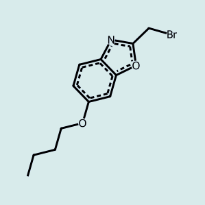 CCCCOc1ccc2nc(CBr)oc2c1